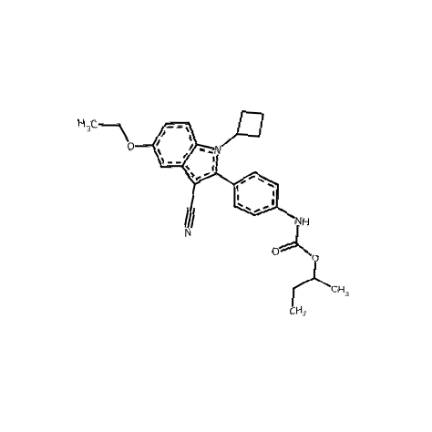 CCOc1ccc2c(c1)c(C#N)c(-c1ccc(NC(=O)OC(C)CC)cc1)n2C1CCC1